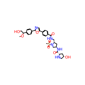 COC(CO)c1ccc(-c2ncc(-c3ccc(C(=O)NC[C@H]4C[C@@H](NC(=O)[C@@H]5C[C@H](O)CN5)CN4S(C)(=O)=O)cc3)o2)cc1